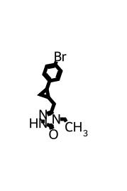 CCn1c(CC2CC2c2ccc(Br)cc2)n[nH]c1=O